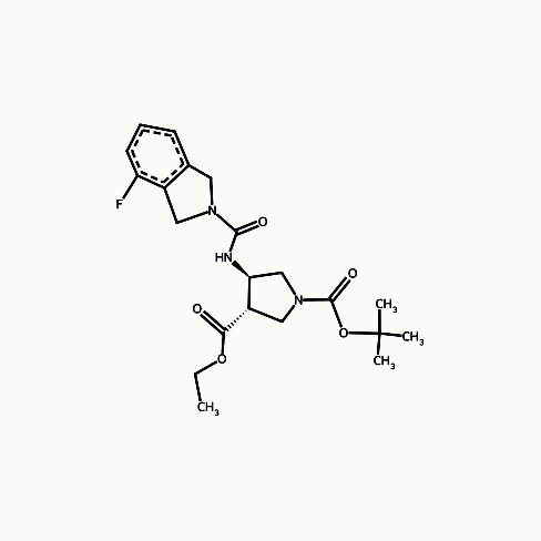 CCOC(=O)[C@H]1CN(C(=O)OC(C)(C)C)C[C@@H]1NC(=O)N1Cc2cccc(F)c2C1